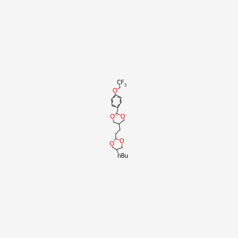 CCCCC1COC(CCC2COC(c3ccc(OCC(F)(F)F)cc3)OC2)OC1